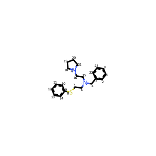 c1ccc(CN(CCSc2ccccc2)CCN2CCCC2)cc1